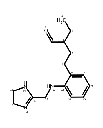 CCC(C=O)CCc1ccccc1NCC1=NCCN1